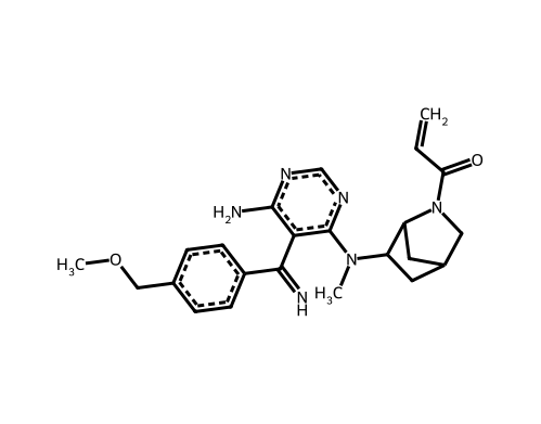 C=CC(=O)N1CC2CC1C(N(C)c1ncnc(N)c1C(=N)c1ccc(COC)cc1)C2